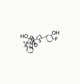 C[C@]1(c2ccccc2)C[C@@]1(NS(=O)(=O)c1ccc(-c2ccc(F)c(O)c2)s1)C(=O)O